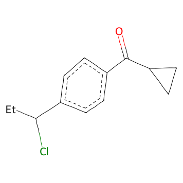 CCC(Cl)c1ccc(C(=O)C2CC2)cc1